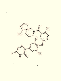 O=C(c1cc(Oc2c(Cl)cc(-n3ncc(=O)[nH]c3=O)cc2Cl)ccc1O)N1CCCC2(CCCC2O)C1